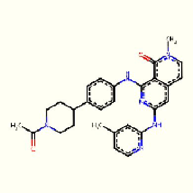 CC(=O)N1CCC(c2ccc(Nc3nc(Nc4cc(C)ccn4)cc4ccn(C)c(=O)c34)cc2)CC1